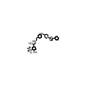 CS(=O)(=O)Nc1cc(C(O)CNCCc2ccc(NC3CCN(c4nc(-c5ccccc5)cs4)CC3)cc2)ccc1O